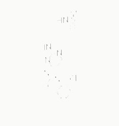 CN1C(=O)N(c2ccccc2Cl)Cc2cnc(NC3CCC(NS(C)(=O)=O)CC3)nc21